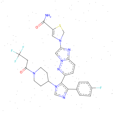 NC(=O)C1=CN(c2cn3nc(-c4c(-c5ccc(F)cc5)ncn4C4CCN(C(=O)CC(F)(F)F)CC4)ccc3n2)CS1